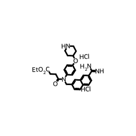 CCOC(=O)CCC(=O)N(Cc1ccc2ccc(C(=N)N)cc2c1)c1ccc(OC2CCNCC2)cc1.Cl.Cl